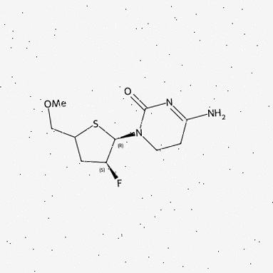 COCC1C[C@H](F)[C@H](N2CCC(N)=NC2=O)S1